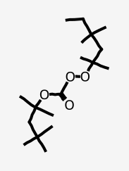 CCC(C)(C)CC(C)(C)OOC(=O)OC(C)(C)CC(C)(C)C